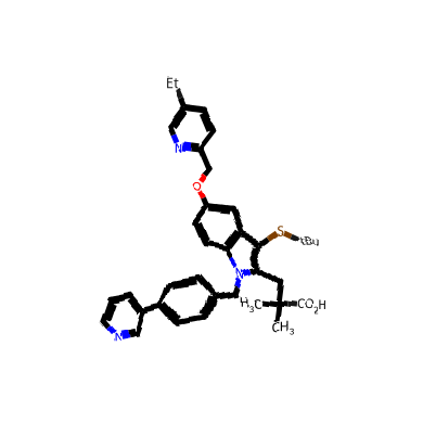 CCc1ccc(COc2ccc3c(c2)c(SC(C)(C)C)c(CC(C)(C)C(=O)O)n3Cc2ccc(-c3cccnc3)cc2)nc1